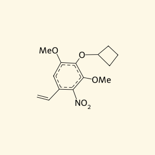 C=Cc1cc(OC)c(OC2CCC2)c(OC)c1[N+](=O)[O-]